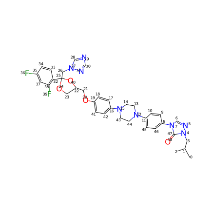 CC(C)Cn1ncn(-c2ccc(N3CCN(c4ccc(OCC5COC(Cn6cncn6)(c6ccc(F)cc6F)O5)cc4)CC3)cc2)c1=O